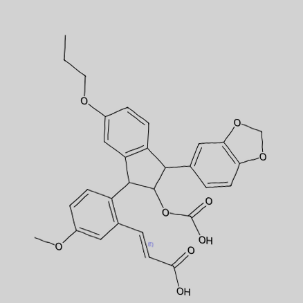 CCCOc1ccc2c(c1)C(c1ccc(OC)cc1/C=C/C(=O)O)C(OC(=O)O)C2c1ccc2c(c1)OCO2